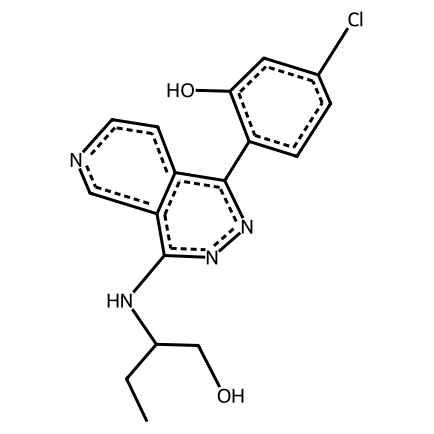 CCC(CO)Nc1nnc(-c2ccc(Cl)cc2O)c2ccncc12